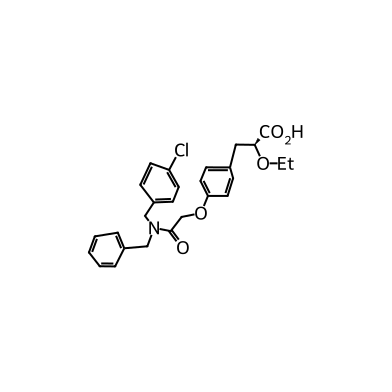 CCO[C@@H](Cc1ccc(OCC(=O)N(Cc2ccccc2)Cc2ccc(Cl)cc2)cc1)C(=O)O